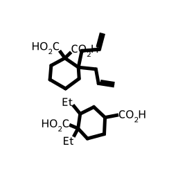 C=CCC1(CC=C)CCCCC1(C(=O)O)C(=O)O.CCC1CC(C(=O)O)CCC1(CC)C(=O)O